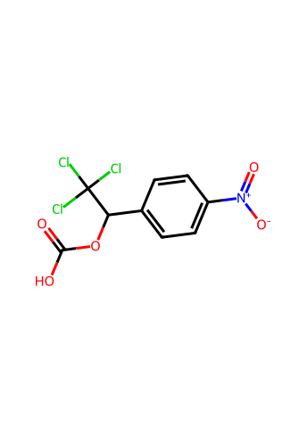 O=C(O)OC(c1ccc([N+](=O)[O-])cc1)C(Cl)(Cl)Cl